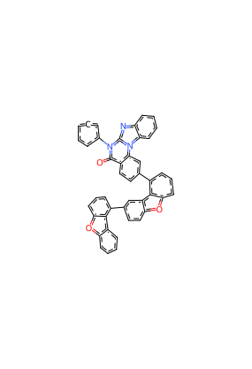 O=c1c2ccc(-c3cccc4oc5ccc(-c6cccc7oc8ccccc8c67)cc5c34)cc2n2c3ccccc3nc2n1-c1ccccc1